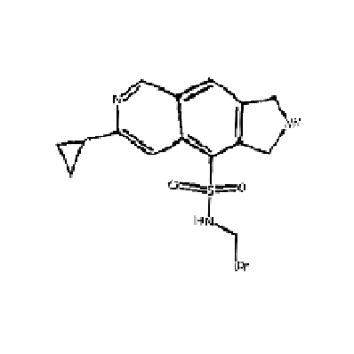 CC(C)CNS(=O)(=O)c1c2c(cc3cnc(C4CC4)cc13)CNC2